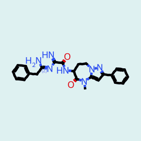 CN1C(=O)C(NC(=O)C(=N)/N=C(\N)Cc2ccccc2)CCn2nc(-c3ccccc3)cc21